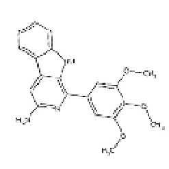 COc1cc(-c2nc(N)cc3c2[nH]c2ccccc23)cc(OC)c1OC